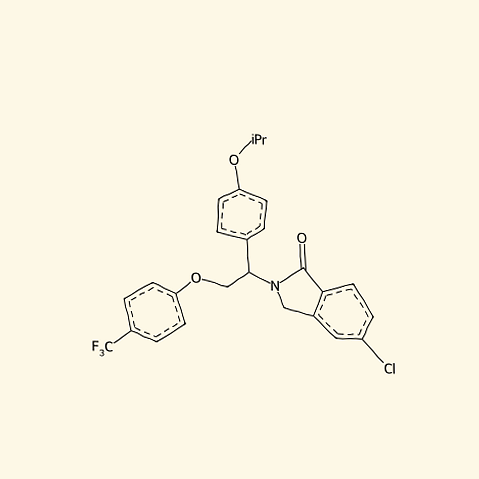 CC(C)Oc1ccc(C(COc2ccc(C(F)(F)F)cc2)N2Cc3cc(Cl)ccc3C2=O)cc1